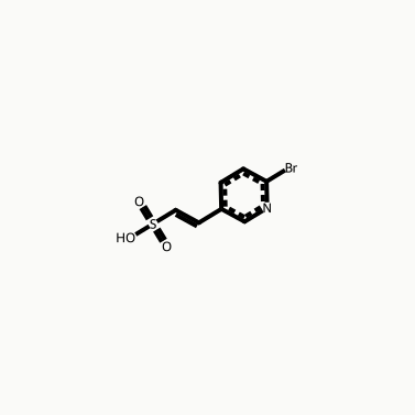 O=S(=O)(O)/C=C/c1ccc(Br)nc1